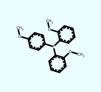 COc1ccc(P(c2ccccc2OC)c2ccccc2OC)cc1